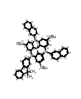 CC(C)(C)c1cc2c3c(c1)N(c1ccc4ccccc4c1)c1cc(C(C)(C)C)cc4c1P3(=O)c1c(cc(C(C)(C)C)cc1N4c1ccc3ccccc3c1)N2c1ccc2c(c1)C(C)(C)c1ccccc1-2